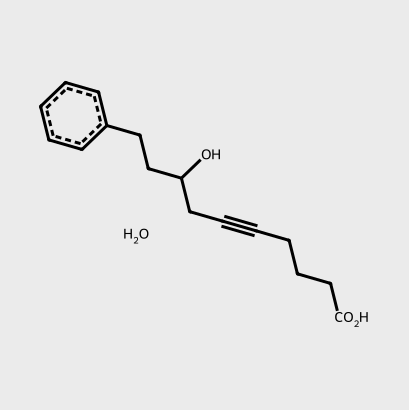 O.O=C(O)CCCC#CCC(O)CCc1ccccc1